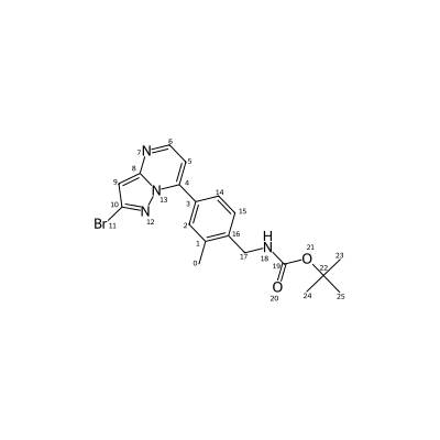 Cc1cc(-c2ccnc3cc(Br)nn23)ccc1CNC(=O)OC(C)(C)C